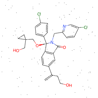 C=C(CCO)c1ccc2c(c1)C(=O)N(Cc1ccc(Cl)cn1)[C@@]2(OCC1(CO)CC1)c1ccc(Cl)cc1